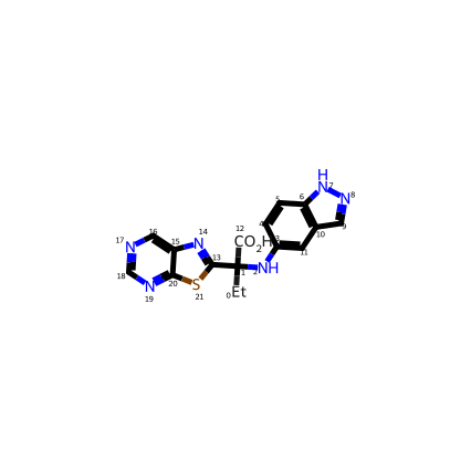 CCC(Nc1ccc2[nH]ncc2c1)(C(=O)O)c1nc2cncnc2s1